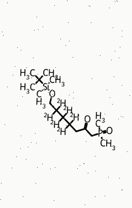 [2H]C([2H])(CO[Si](C)(C)C(C)(C)C)C([2H])([2H])C([2H])([2H])CC(=O)CP(C)(C)=O